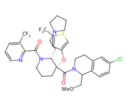 COCC1c2ccc(Cl)cc2CCN1C(=O)[C@@]1(Oc2csc(C(F)(F)F)c2)CCCN(C(=O)c2ncccc2C(F)(F)F)[C@@H]1CCN1CCCC1